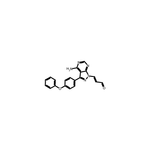 Nc1ncnc2c1c(-c1ccc(Oc3ccccc3)cc1)nn2C=CC=O